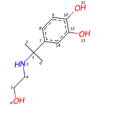 CC(C)(NCCO)c1ccc(O)c(O)c1